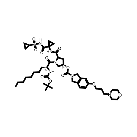 CCCCCCCC[C@H](NC(=O)OC(C)(C)C)C(=O)N1C[C@H](OC(=O)N2Cc3ccc(OCCCN4CCOCC4)cc3C2)CC1C(=O)NC1(C(=O)NS(=O)(=O)C2CC2)CC1